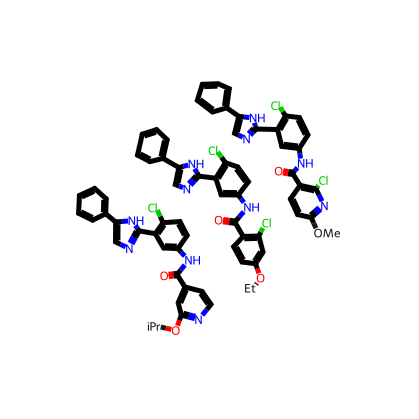 CC(C)Oc1cc(C(=O)Nc2ccc(Cl)c(-c3ncc(-c4ccccc4)[nH]3)c2)ccn1.CCOc1ccc(C(=O)Nc2ccc(Cl)c(-c3ncc(-c4ccccc4)[nH]3)c2)c(Cl)c1.COc1ccc(C(=O)Nc2ccc(Cl)c(-c3ncc(-c4ccccc4)[nH]3)c2)c(Cl)n1